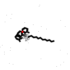 CCCCCCCCCCCC(=O)OP(O)(Oc1ccccc1C)(c1ccccc1C)c1ccccc1C